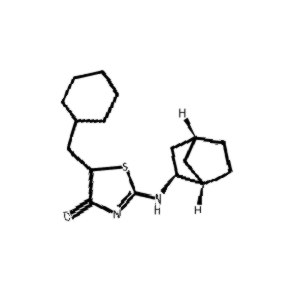 O=C1N=C(N[C@H]2C[C@@H]3CC[C@H]2C3)SC1CC1CCCCC1